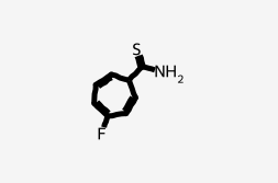 NC(=S)C1C=CC=C(F)C=C1